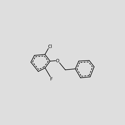 Fc1cccc(Cl)c1OCc1ccccc1